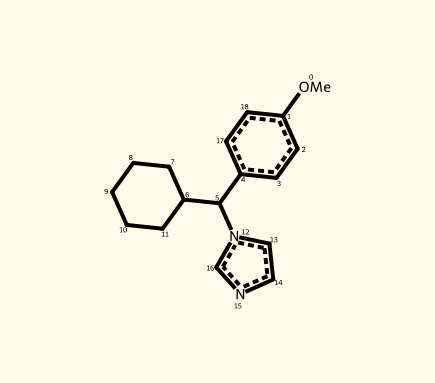 COc1ccc(C(C2CCCCC2)n2ccnc2)cc1